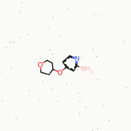 Bc1cc(OC2CCOCC2)ccn1